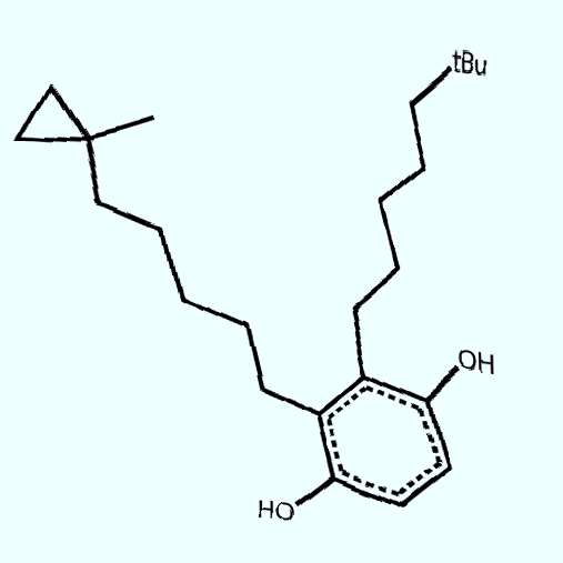 CC(C)(C)CCCCCc1c(O)ccc(O)c1CCCCCC1(C)CC1